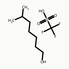 CC(C)CCCCCO.O=S(=O)(O)C(F)(F)F